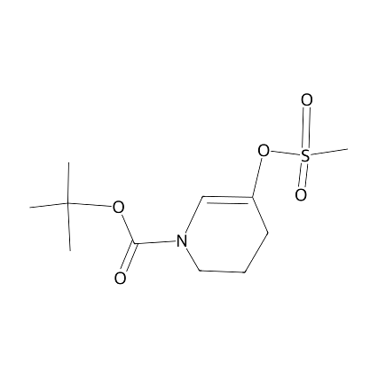 CC(C)(C)OC(=O)N1C=C(OS(C)(=O)=O)CCC1